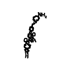 NC1CCCN(CCc2ccc(-n3ccc(NC(=O)N4CCC5(CC4)CNC5)nc3=O)cc2)CC1